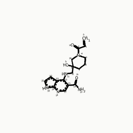 C=CC(=O)N1CCCC(O)(CNc2c(C(N)=O)cnc3[nH]ccc23)C1